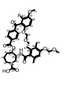 COCOc1cc(C)c(C(=O)N[C@@H]2CN(C(=O)O)CCC[C@H]2OC(=O)c2ccc(C(=O)c3c(OCOC)ccc(OC)c3F)cc2)c(C)c1C